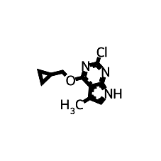 Cc1c[nH]c2nc(Cl)nc(OCC3CC3)c12